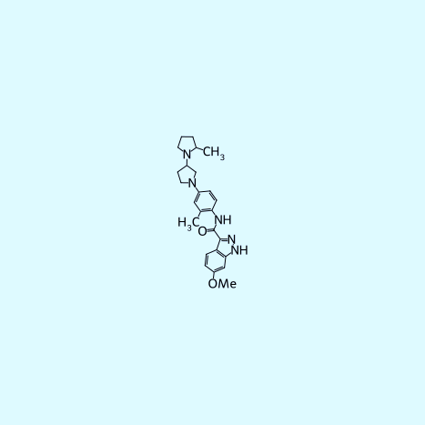 COc1ccc2c(C(=O)Nc3ccc(N4CCC(N5CCCC5C)C4)cc3C)n[nH]c2c1